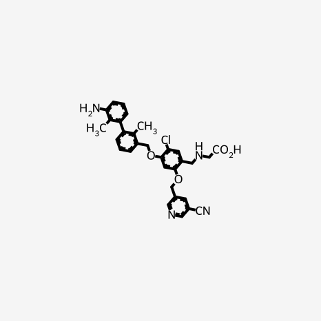 Cc1c(N)cccc1-c1cccc(COc2cc(OCc3cncc(C#N)c3)c(CNCC(=O)O)cc2Cl)c1C